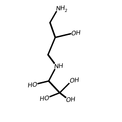 NCC(O)CNC(O)C(O)(O)O